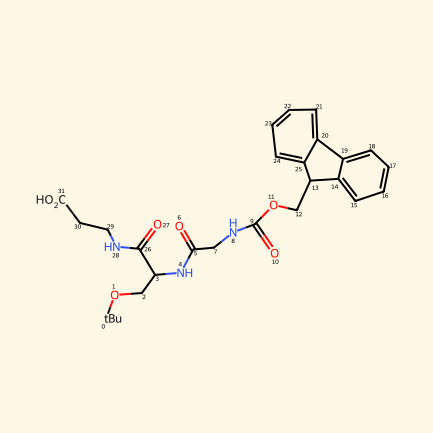 CC(C)(C)OCC(NC(=O)CNC(=O)OCC1c2ccccc2-c2ccccc21)C(=O)NCCC(=O)O